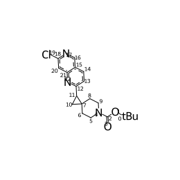 CC(C)(C)OC(=O)N1CCC2(CC1)CC2c1ccc2cnc(Cl)cc2n1